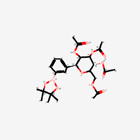 CC(=O)OCC1O[C@@H](c2cccc(B3OC(C)(C)C(C)(C)O3)c2)C(OC(C)=O)C(OC(C)=O)[C@@H]1OC(C)=O